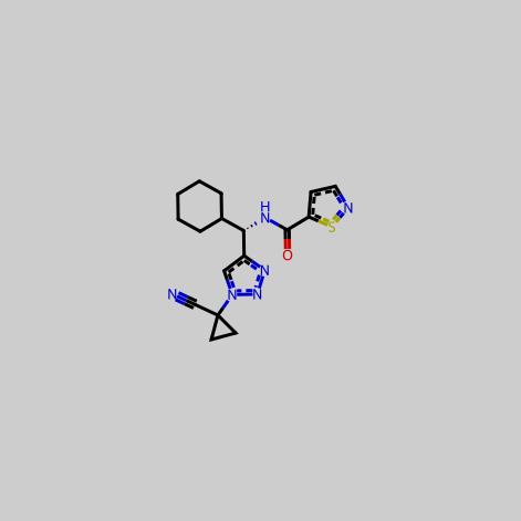 N#CC1(n2cc([C@@H](NC(=O)c3ccns3)C3CCCCC3)nn2)CC1